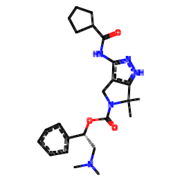 CN(C)C[C@@H](OC(=O)N1Cc2c(NC(=O)C3CCCC3)n[nH]c2C1(C)C)c1ccccc1